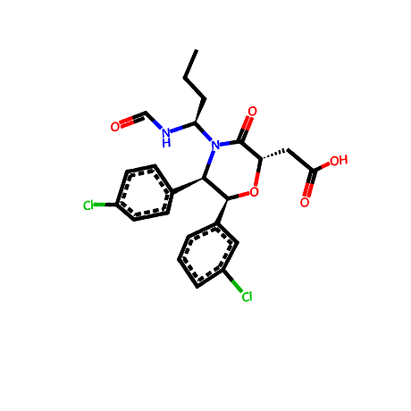 CCC[C@H](NC=O)N1C(=O)[C@H](CC(=O)O)O[C@@H](c2cccc(Cl)c2)[C@H]1c1ccc(Cl)cc1